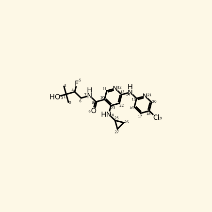 CC(C)(O)C(F)CNC(=O)c1cnc(Nc2ccc(Cl)cn2)cc1NC1CC1